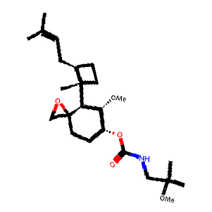 CO[C@@H]1[C@H](OC(=O)NCC(C)(C)OC)CCC2(CO2)[C@H]1[C@@]1(C)CC[C@@H]1CC=C(C)C